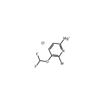 FC(F)Oc1cc[c]([Mg+])nc1Br.[Cl-]